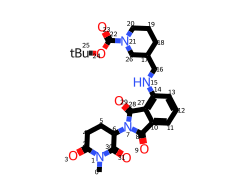 CN1C(=O)CCC(N2C(=O)c3cccc(NCC4CCCN(C(=O)OC(C)(C)C)C4)c3C2=O)C1=O